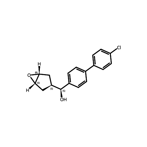 O[C@H](c1ccc(-c2ccc(Cl)cc2)cc1)[C@H]1C[C@@H]2O[C@@H]2C1